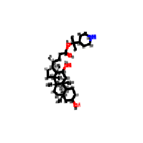 C[C@H](CCC(=O)OC(C)(C)C1CCNCC1)[C@H]1CC[C@H]2[C@@H]3CC[C@@H]4CC(O)CC[C@]4(C)[C@H]3CC(O)[C@]12C